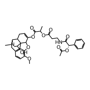 COc1ccc2c3c1OC1C(OC(=O)C(C)OC(=O)CCNC(=O)[C@@H](OC(C)=O)c4ccccc4)=CCC4C(C2)N(C)CC(O)C314